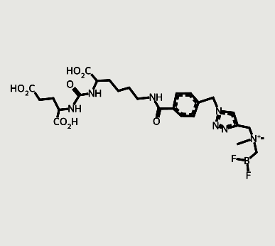 C[N+](C)(CB(F)F)Cc1cn(Cc2ccc(C(=O)NCCCCC(NC(=O)NC(CCC(=O)O)C(=O)O)C(=O)O)cc2)nn1